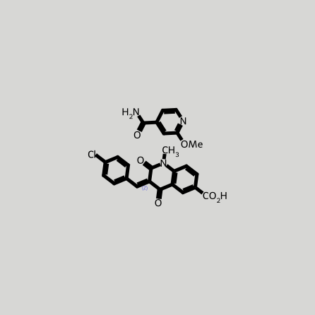 CN1C(=O)/C(=C\c2ccc(Cl)cc2)C(=O)c2cc(C(=O)O)ccc21.COc1cc(C(N)=O)ccn1